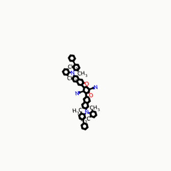 Cc1ccc(-c2ccccc2)cc1N(c1ccc2cc3c(cc2c1)oc1c(C#N)c2oc4cc5cc(N(c6cc(-c7ccccc7)ccc6C)c6c(C)cccc6C)ccc5cc4c2c(C#N)c13)c1c(C)cccc1C